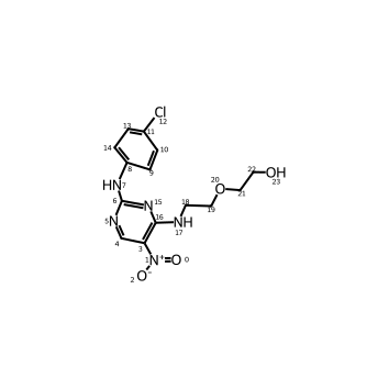 O=[N+]([O-])c1cnc(Nc2ccc(Cl)cc2)nc1NCCOCCO